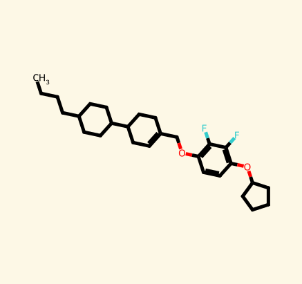 CCCCC1CCC(C2CC=C(COc3ccc(OC4CCCC4)c(F)c3F)CC2)CC1